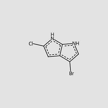 Clc1cc2c(Br)c[nH]c2[nH]1